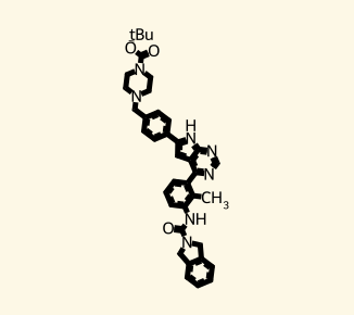 Cc1c(NC(=O)N2Cc3ccccc3C2)cccc1-c1ncnc2[nH]c(-c3ccc(CN4CCN(C(=O)OC(C)(C)C)CC4)cc3)cc12